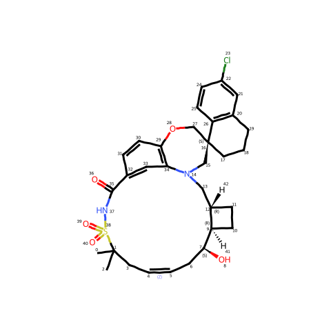 CC1(C)C/C=C\C[C@H](O)[C@@H]2CC[C@H]2CN2C[C@@]3(CCCc4cc(Cl)ccc43)COc3ccc(cc32)C(=O)NS1(=O)=O